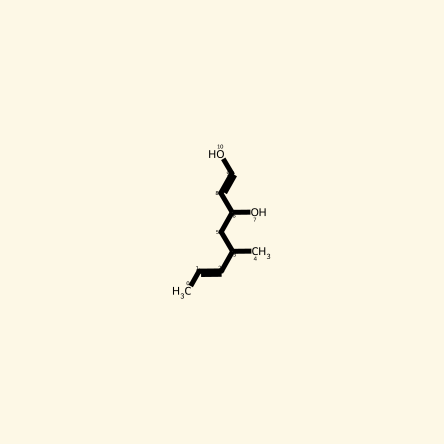 CC=CC(C)CC(O)C=CO